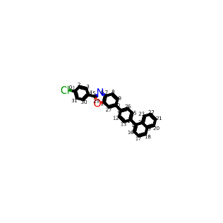 Clc1ccc(-c2nc3ccc(-c4ccc(-c5cccc6ccccc56)cc4)cc3o2)cc1